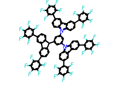 Fc1c(F)c(F)c(-c2ccc3c(c2)-c2cc(-c4c(F)c(F)c(F)c(F)c4F)ccc2C3c2cc(-n3c4ccc(-c5c(F)c(F)c(F)c(F)c5F)cc4c4cc(-c5c(F)c(F)c(F)c(F)c5F)ccc43)cc(-n3c4ccc(-c5c(F)c(F)c(F)c(F)c5F)cc4c4cc(-c5c(F)c(F)c(F)c(F)c5F)ccc43)c2)c(F)c1F